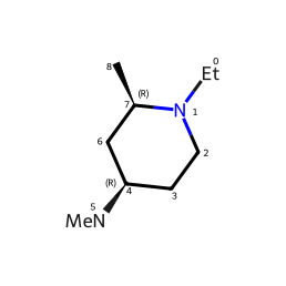 CCN1CC[C@@H](NC)C[C@H]1C